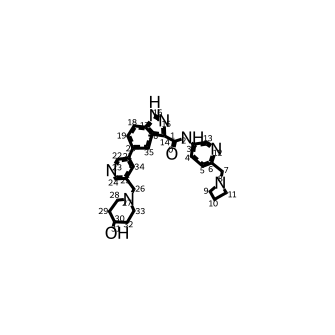 O=C(Nc1ccc(CN2CCC2)nc1)c1n[nH]c2ccc(-c3cncc(CN4CCC(O)CC4)c3)cc12